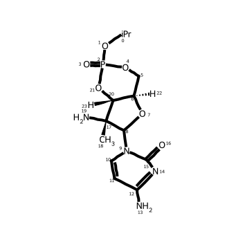 CC(C)OP1(=O)OC[C@H]2OC(n3ccc(N)nc3=O)[C@](C)(N)[C@@H]2O1